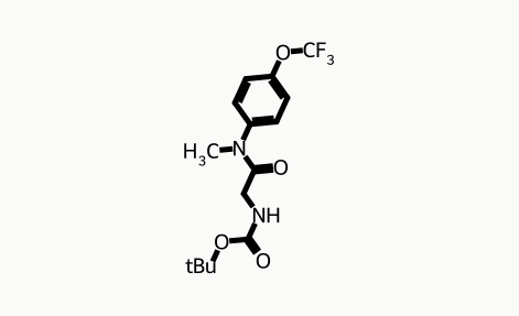 CN(C(=O)CNC(=O)OC(C)(C)C)c1ccc(OC(F)(F)F)cc1